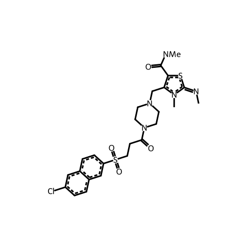 CN=c1sc(C(=O)NC)c(CN2CCN(C(=O)CCS(=O)(=O)c3ccc4cc(Cl)ccc4c3)CC2)n1C